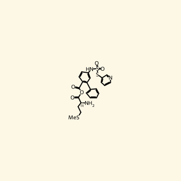 CSCC[C@H](N)C(=O)OC(=O)c1ccc(NS(=O)(=O)Sc2cccnc2)cc1-c1ccccc1